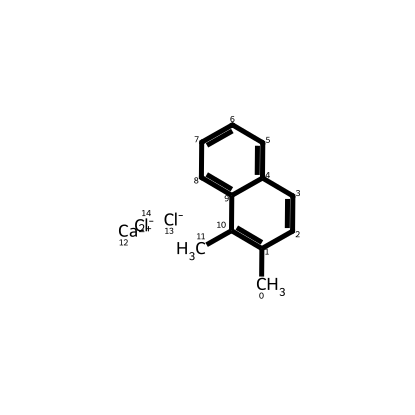 Cc1ccc2ccccc2c1C.[Ca+2].[Cl-].[Cl-]